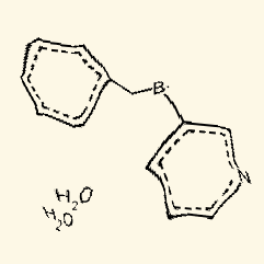 O.O.[B](c1ccccc1)c1cccnc1